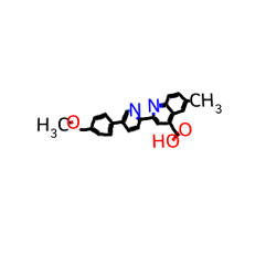 COCc1ccc(-c2ccc(-c3cc(C(=O)O)c4cc(C)ccc4n3)nc2)cc1